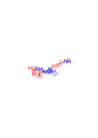 N/C(=C\N(N)CCOCCOCCOCCNC=O)CNC(=O)CC(SCC(N)C(=O)O)C(=O)O